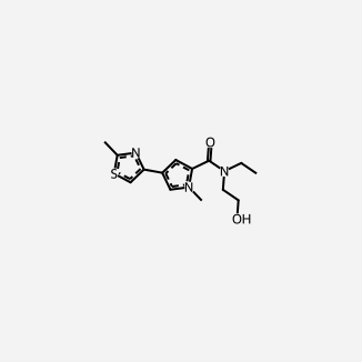 CCN(CCO)C(=O)c1cc(-c2csc(C)n2)cn1C